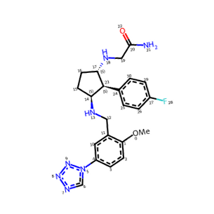 COc1ccc(-n2cnnn2)cc1CN[C@H]1CC[C@H](NCC(N)=O)[C@H]1c1ccc(F)cc1